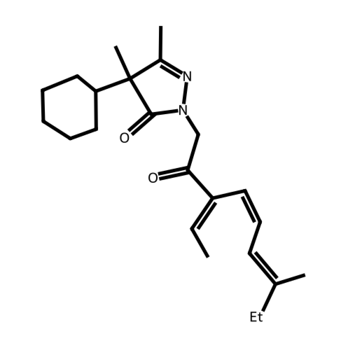 C\C=C(/C=C\C=C(/C)CC)C(=O)CN1N=C(C)C(C)(C2CCCCC2)C1=O